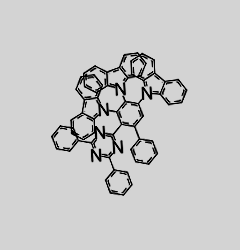 c1ccc(-c2nc(-c3ccccc3)nc(-c3c(-c4ccccc4)cc(-n4c5ccccc5c5ccccc54)c(-n4c5ccccc5c5ccccc54)c3-n3c4ccccc4c4ccccc43)n2)cc1